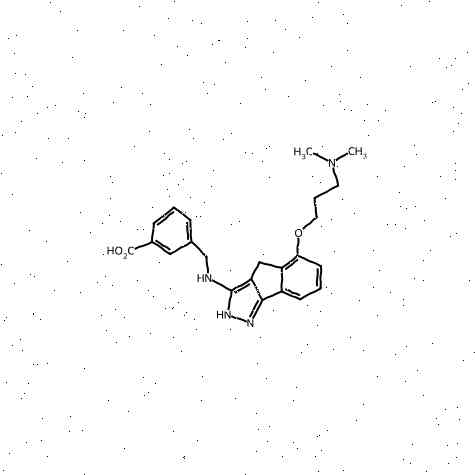 CN(C)CCCOc1cccc2c1Cc1c-2n[nH]c1NCc1cccc(C(=O)O)c1